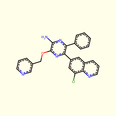 Nc1nc(-c2ccccc2)c(-c2cc(Cl)c3ncccc3c2)nc1OCc1cccnc1